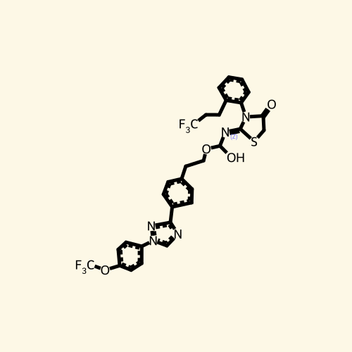 O=C1CS/C(=N\C(O)OCCc2ccc(-c3ncn(-c4ccc(OC(F)(F)F)cc4)n3)cc2)N1c1ccccc1CCC(F)(F)F